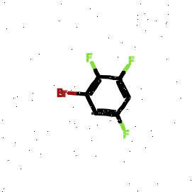 Fc1[c]c(Br)c(F)c(F)c1